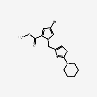 COC(=O)c1cc(Br)cn1Cc1csc(N2CCCCC2)n1